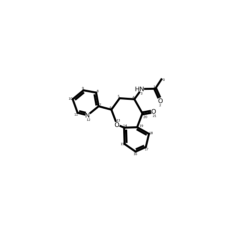 CC(=O)NC1CC(c2ccccn2)Oc2ccccc2C1=O